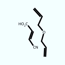 C=CCOCC=C.N#CC=CC(=O)O